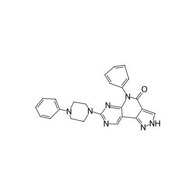 O=c1c2c[nH]nc2c2cnc(N3CCN(c4ccccc4)CC3)nc2n1-c1ccccc1